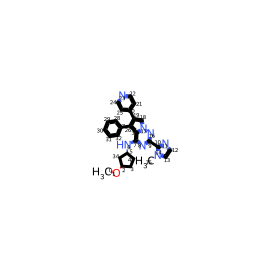 CO[C@H]1CC[C@@H](Nc2nc(-c3nccn3C)nn3cc(-c4ccncc4)c(-c4ccccc4)c23)C1